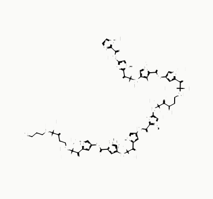 CC(CCNC(C)(C)C(=O)c1cc(NC(=O)c2c(O)c(NC(C)(C)C(=O)c3nc(NC(=O)c4nccn4C)cn3C)cn2C)cn1C)C(=O)C(C)(C)Nc1cn(C)c(C(=O)Nc2cc(C(=O)C(C)(C)Nc3cc(C(=O)Nc4cc(C(=O)C(C)(C)NCCC(=O)C(C)(C)NCCCN)n(C)c4)n(C)c3)n(C)c2)n1